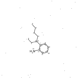 CCCCN(CC)c1ccccc1N